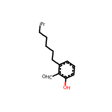 CC(C)CCCCCc1cccc(O)c1C=O